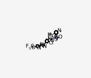 CC(C)c1ccc(N(C)C)cc1N1C(=O)CS/C1=N\C(=O)Nc1ccc(-c2ncn(-c3ccc(OC(F)(F)F)cn3)n2)cc1Cl